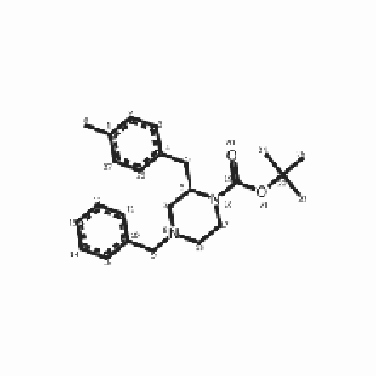 Cc1ccc(C[C@@H]2CN(Cc3ccccc3)CCN2C(=O)OC(C)(C)C)cc1